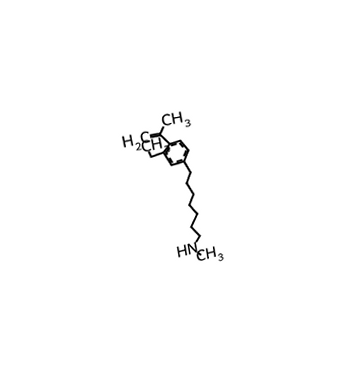 C=C(C)c1ccc(CCCCCCCNC)cc1CC